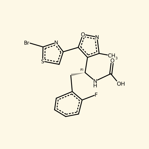 Cc1noc(-c2csc(Br)n2)c1[C@@H](Cc1ccccc1F)NC(=O)O